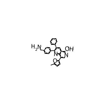 Cc1ccc(-c2cnc(O)c3cc(-c4ccccc4)c(-c4ccc(CN)cc4)nc23)o1